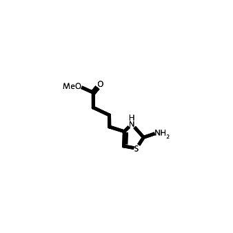 COC(=O)CCCC1=CSC(N)N1